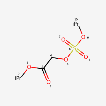 CC(C)OC(=O)COS(=O)(=O)OC(C)C